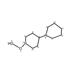 OON1CCC(N2CCCCC2)CC1